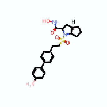 Bc1ccc(-c2ccc(CCS(=O)(=O)N3C(C(=O)NO)C[C@H]4CCCC43)cc2)cc1